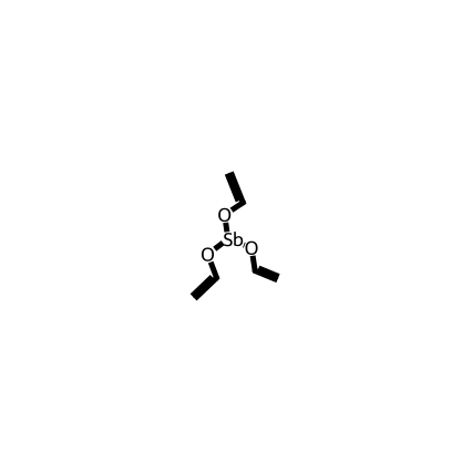 C=C[O][Sb]([O]C=C)[O]C=C